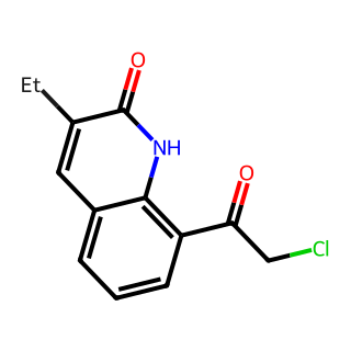 CCc1cc2cccc(C(=O)CCl)c2[nH]c1=O